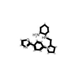 N[C@@H]1CCCC[C@H]1NCC1CCCN1c1ccc(-c2ncco2)cc1